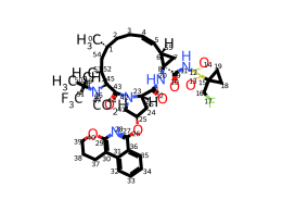 C[C@@H]1CC/C=C\[C@@H]2C[C@@]2(C(=O)NS(=O)(=O)C2(CF)CC2)NC(=O)[C@@H]2C[C@@H](Oc3nc4c(c5ccccc35)CCCO4)CN2C(=O)[C@@H](N(C(=O)O)C(C)(C)C(F)(F)F)[C@H](C)C1